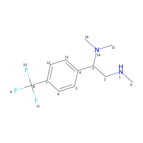 CNCC(c1ccc(C(F)(F)F)cc1)N(C)C